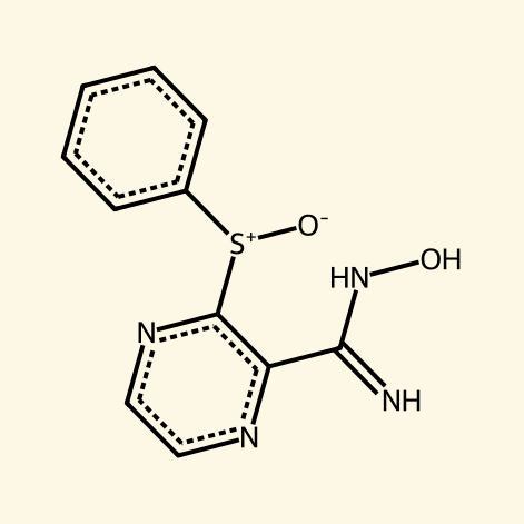 N=C(NO)c1nccnc1[S+]([O-])c1ccccc1